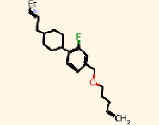 C=CCCCOCc1ccc(C2CCC(C/C=C/CC)CC2)c(F)c1